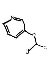 ClC(Cl)Oc1cc[c]nc1